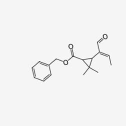 C/C=C(/C=O)C1C(C(=O)OCc2ccccc2)C1(C)C